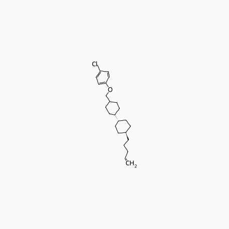 C=CCCC[C@H]1CC[C@H](C2CCC(COc3ccc(Cl)cc3)CC2)CC1